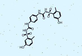 Cc1ccc(O)cc1S(=O)(=O)NC(=O)Nc1ccc(NC(=O)NS(=O)(=O)c2cc(O)ccc2C)cc1